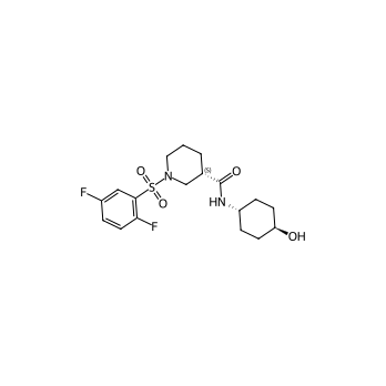 O=C(N[C@H]1CC[C@H](O)CC1)[C@H]1CCCN(S(=O)(=O)c2cc(F)ccc2F)C1